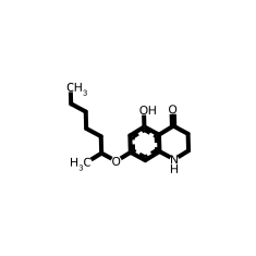 CCCCCC(C)Oc1cc(O)c2c(c1)NCCC2=O